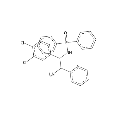 NC(c1ccccn1)C(NP(=O)(c1ccccc1)c1ccccc1)c1ccc(Cl)c(Cl)c1